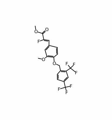 COC(=O)/C(F)=C/c1ccc(OCc2ccc(C(F)(F)F)cc2C(F)(F)F)c(OC)c1